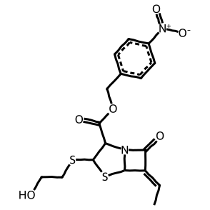 CC=C1C(=O)N2C1SC(SCCO)C2C(=O)OCc1ccc([N+](=O)[O-])cc1